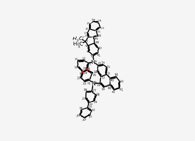 CC1(C)c2cc(N(c3ccccc3)c3ccc4c(c3)c(N(c3ccccc3)c3ccc(-c5ccccc5)cc3)cc3ccccc34)ccc2-c2cc3ccccc3cc21